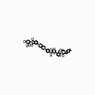 Cn1cc(-c2ccnc(N3CCn4c(cc5c4CC(C)(C)C5)C3=O)c2CO)nc(Nc2ccc(N3CCC4(CC3)CCN(c3ccc5c(c3)C(=O)N(C3CCC(=O)NC3=O)C5=O)CC4)cc2)c1=O